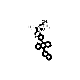 Cc1c2n(c(=O)n1CC(C)C)-c1ccc(-c3c4ccccc4c(-c4ccc5ccccc5c4)c4ccccc34)cc1SC2